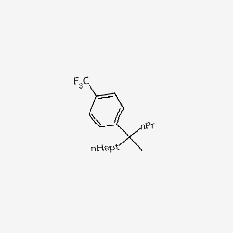 CCCCCCCC(C)(CCC)c1ccc(C(F)(F)F)cc1